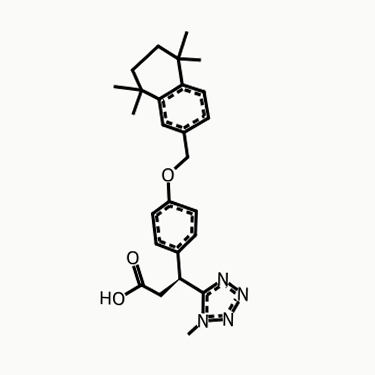 Cn1nnnc1[C@@H](CC(=O)O)c1ccc(OCc2ccc3c(c2)C(C)(C)CCC3(C)C)cc1